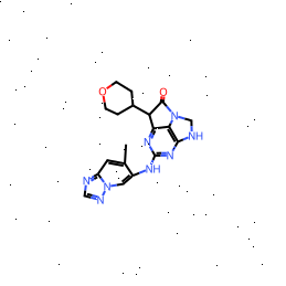 Cc1cc2ncnn2cc1Nc1nc2c3c(n1)C(C1CCOCC1)C(=O)N3CN2